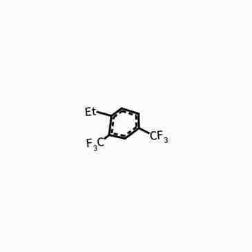 CCc1ccc(C(F)(F)F)cc1C(F)(F)F